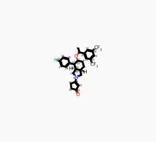 CC(O[C@H]1CC[C@@H]2CN(C3=CC(=O)CC3)C[C@H]2C1c1ccc(F)cc1)c1cc(C(F)(F)F)cc(C(F)(F)F)c1